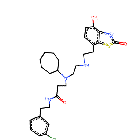 O=C(CCN(CCNCCc1ccc(O)c2[nH]c(=O)sc12)C1CCCCCC1)NCCc1cccc(Cl)c1